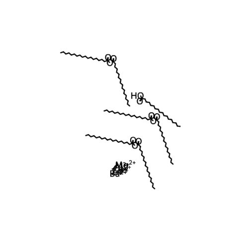 CCCCCCCCCCCCCCCCCC(=O)O.CCCCCCCCCCCCCCCCCC(=O)OC(=O)CCCCCCCCCCCCCCCCC.CCCCCCCCCCCCCCCCCC(=O)OC(=O)CCCCCCCCCCCCCCCCC.CCCCCCCCCCCCCCCCCC(=O)OC(=O)CCCCCCCCCCCCCCCCC.[Al+3].[Ba+2].[Ca+2].[Cu+].[Mg+2].[Zn+2]